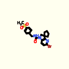 CS(=O)(=O)c1ccc(CNC(=O)N2CC3(CCCC3)c3nc(Br)ccc32)cc1